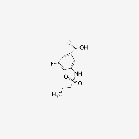 CCCS(=O)(=O)Nc1cc(F)cc(C(=O)O)c1